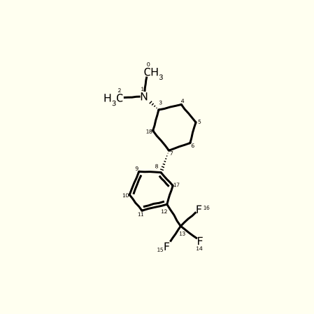 CN(C)[C@@H]1CCC[C@H](c2cccc(C(F)(F)F)c2)C1